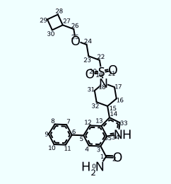 NC(=O)c1cc(-c2ccccc2)cc2c(C3CCN(S(=O)(=O)CCCOCC4CCC4)CC3)c[nH]c12